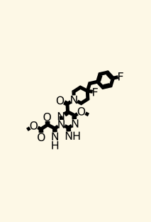 COC(=O)C(=O)C(=N)n1nc(C(=O)N2CCC(F)(Cc3ccc(F)cc3)CC2)c(OC)nc1=N